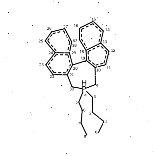 CCCC[PH]1(CCCC)Cc2ccc3ccccc3c2-c2c(ccc3ccccc23)C1